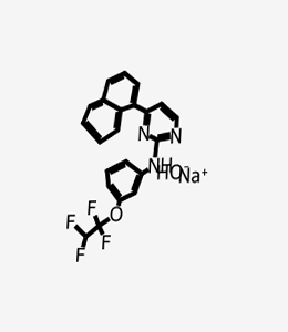 FC(F)C(F)(F)Oc1cccc(Nc2nccc(-c3cccc4ccccc34)n2)c1.[Na+].[OH-]